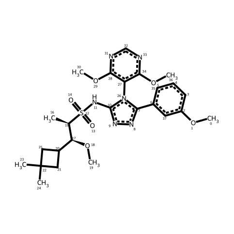 COc1cccc(-c2nnc(NS(=O)(=O)[C@H](C)[C@@H](OC)C3CC(C)(C)C3)n2-c2c(OC)ncnc2OC)c1